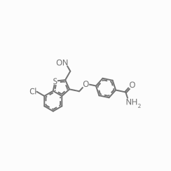 NC(=O)c1ccc(OCc2c(CN=O)sc3c(Cl)cccc23)cc1